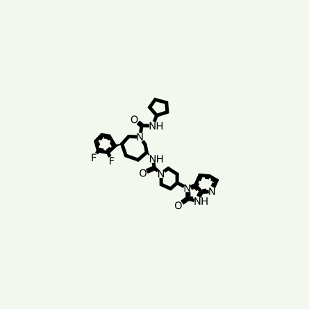 O=C(NC1CCCC1)N1C[C@H](NC(=O)N2CCC(n3c(=O)[nH]c4ncccc43)CC2)CC[C@@H](c2cccc(F)c2F)C1